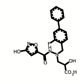 O=C(NN(Cc1ccc(-c2ccccc2)cc1F)CC(O)C(=O)O)c1cc(O)no1